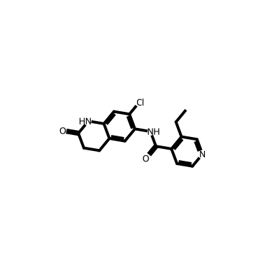 CCc1cnccc1C(=O)Nc1cc2c(cc1Cl)NC(=O)CC2